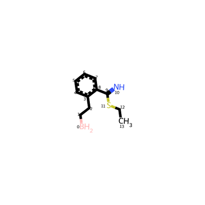 BCCc1ccccc1C(=N)SCC